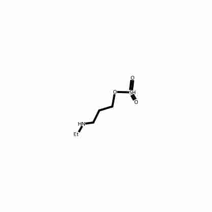 CCNCCCO[SH](=O)=O